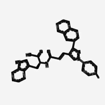 Cc1ccc(-n2cc(C=CC(=O)N[C@@H](Cc3c[nH]c4ccccc34)C(=O)O)c(-c3ccc4ccccc4c3)n2)cc1